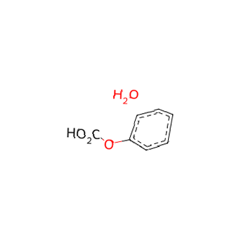 O.O=C(O)Oc1ccccc1